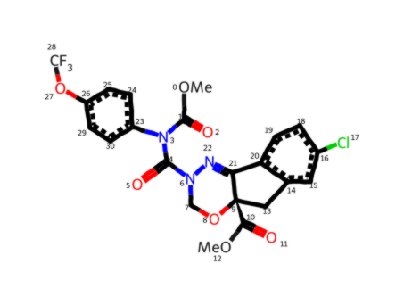 COC(=O)N(C(=O)N1CO[C@@]2(C(=O)OC)Cc3cc(Cl)ccc3C2=N1)c1ccc(OC(F)(F)F)cc1